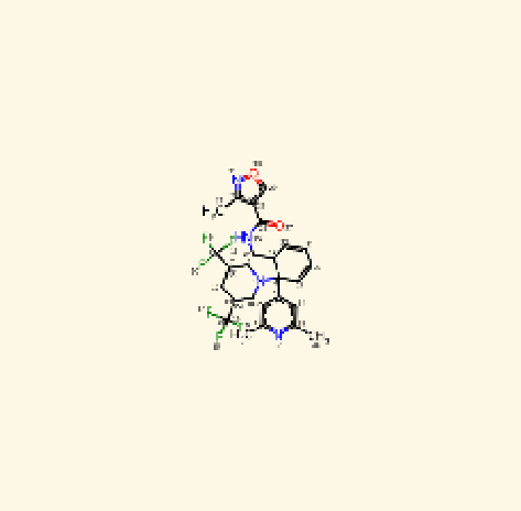 Cc1cc(C2(N3C[C@H](C(F)(F)F)C[C@H](C(F)(F)F)C3)C=CC=CC2CNC(=O)c2conc2C)cc(C)n1